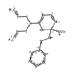 C=CCN(CC=C)C1=NC=NC(NCc2ccccc2)(SC)N1